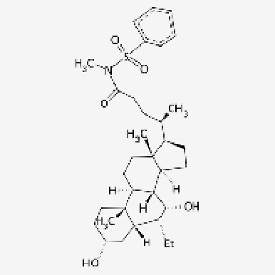 CC[C@H]1[C@@H](O)[C@@H]2[C@H](CC[C@]3(C)[C@@H]([C@H](C)CCC(=O)N(C)S(=O)(=O)c4ccccc4)CC[C@@H]23)[C@@]2(C)CC[C@@H](O)C[C@@H]12